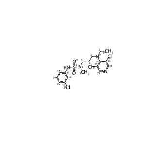 CCN(CCCN(C)S(=O)(=O)Nc1cccc(Cl)c1)c1c(Cl)cncc1Cl